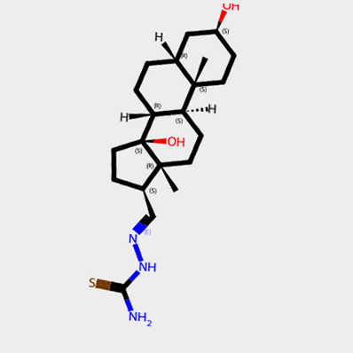 C[C@]12CC[C@H](O)C[C@H]1CC[C@@H]1[C@@H]2CC[C@]2(C)[C@@H](/C=N/NC(N)=S)CC[C@]12O